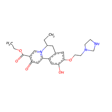 CCOC(=O)c1cn2c(cc1=O)-c1cc(O)c(OCCN3CCNC3)cc1CC2CC